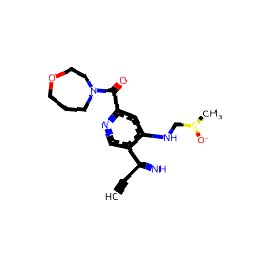 C#CC(=N)c1cnc(C(=O)N2CCCOCC2)cc1NC[S+](C)[O-]